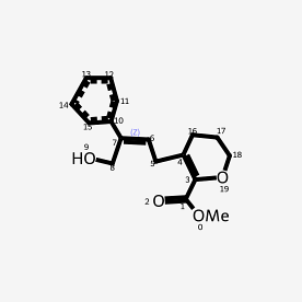 COC(=O)C1=C(C/C=C(\CO)c2ccccc2)CCCO1